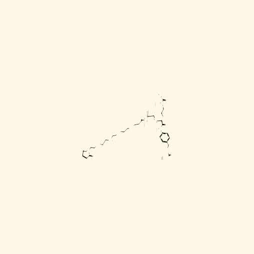 CC(C)C(=O)OCc1ccc(NC(=O)[C@H](CCCNC(N)=O)NC(=O)[C@@H](NC(=O)CCOCCOCCOCCOCCN2C(=O)C=CC2=O)C(C)C)cc1